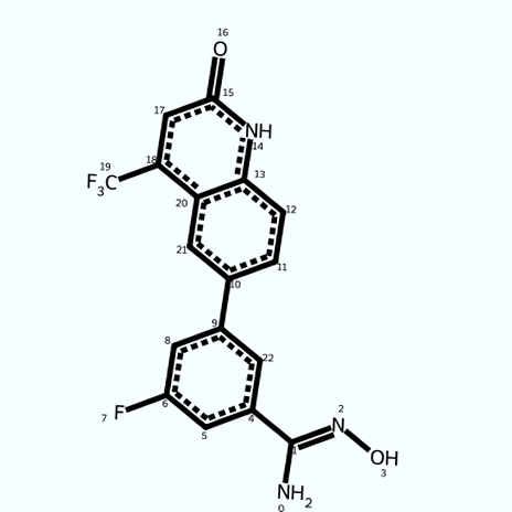 NC(=NO)c1cc(F)cc(-c2ccc3[nH]c(=O)cc(C(F)(F)F)c3c2)c1